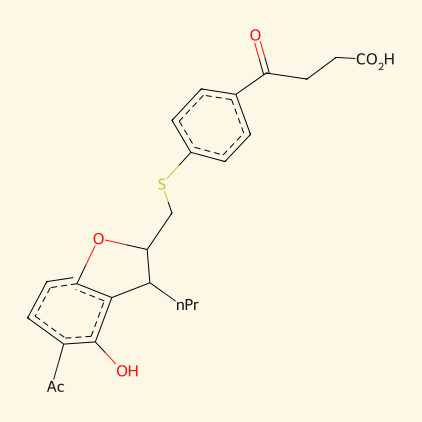 CCCC1c2c(ccc(C(C)=O)c2O)OC1CSc1ccc(C(=O)CCC(=O)O)cc1